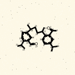 CC(=O)c1cc(C(C)C)ccc1C(C)CCC(C)c1ccc(C(C)C)c(C=O)c1